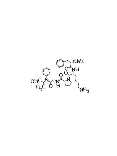 CN[C@@H](Cc1ccccc1)C(=O)N[C@@H](CCCCN)C(=O)N1CCC[C@H]1C(=O)NCC(=O)N(c1ccccc1)[C@@H](C)[C]=O